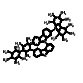 Bc1c(B)c(B)c(-c2c(B)c(B)c(B)c(-c3ccc4sc5cccc(-n6c7ccccc7c7ccc(-n8c9c(B)c(B)c(B)c(B)c9c9c(B)c(B)c(B)c(B)c98)cc76)c5c4c3)c2B)c(B)c1B